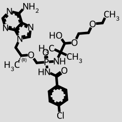 CCOCCOC(O)C(C)(C)NP(=O)(CO[C@H](C)Cn1cnc2c(N)ncnc21)NC(=O)c1ccc(Cl)cc1